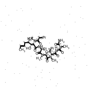 C/C=C/C[C@@H](C)[C@@H](O)[C@@H](C(=O)N[C@@H](CC)C(=O)N(C)[C@H](C)C(=O)N(C)[C@@H](CC(C)C)C(=O)NC(=O)N(C)C(N)=O)N(C)C(=O)CC(C)C